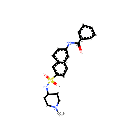 CCOC(=O)N1CCC(NS(=O)(=O)c2ccc3cc(NC(=O)c4ccccc4)ccc3c2)CC1